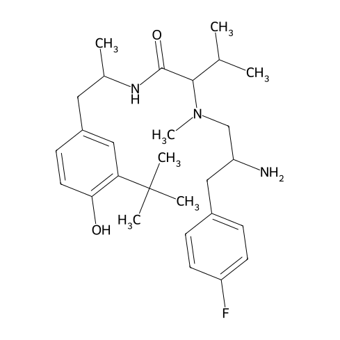 CC(Cc1ccc(O)c(C(C)(C)C)c1)NC(=O)C(C(C)C)N(C)CC(N)Cc1ccc(F)cc1